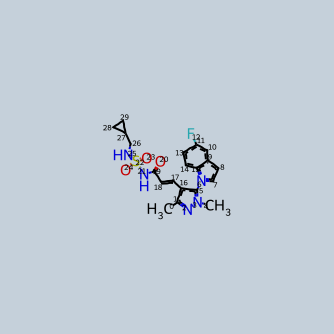 Cc1nn(C)c(-n2ccc3cc(F)ccc32)c1C=CC(=O)NS(=O)(=O)NCC1CC1